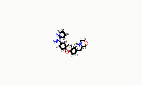 CN1CCOCC1Cc1ccc(Oc2ccc(Nc3ccccn3)cc2)cc1